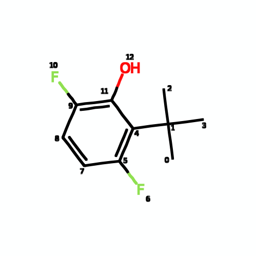 CC(C)(C)c1c(F)ccc(F)c1O